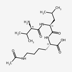 CC(=O)NCCCC[C@H](NC(=O)[C@H](CC(C)C)NC(=O)[C@H](N)C(C)C)C(=O)O